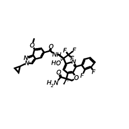 COc1cc(C(=O)NC[C@](O)(c2cc3c(c(-c4cccc(F)c4F)n2)OC[C@]3(C)C(N)=O)C(F)(F)F)cc2cn(C3CC3)nc12